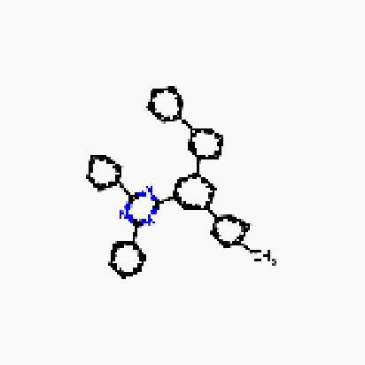 Cc1ccc(-c2cc(-c3cccc(-c4ccccc4)c3)cc(-c3nc(-c4ccccc4)nc(-c4ccccc4)n3)c2)cc1